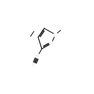 CC(=O)n1ccc([N+]#N)n1.O=S(=O)([O-])O